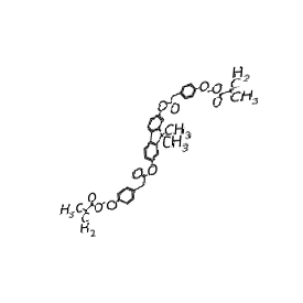 C=C(C)C(=O)OCOc1ccc(CC(=O)Oc2ccc3c(c2)C(C)(C)c2cc(OC(=O)Cc4ccc(OCOC(=O)C(=C)C)cc4)ccc2-3)cc1